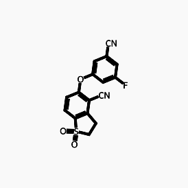 N#Cc1cc(F)cc(Oc2ccc3c(c2C#N)CCS3(=O)=O)c1